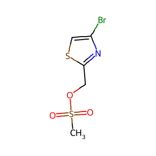 CS(=O)(=O)OCc1nc(Br)cs1